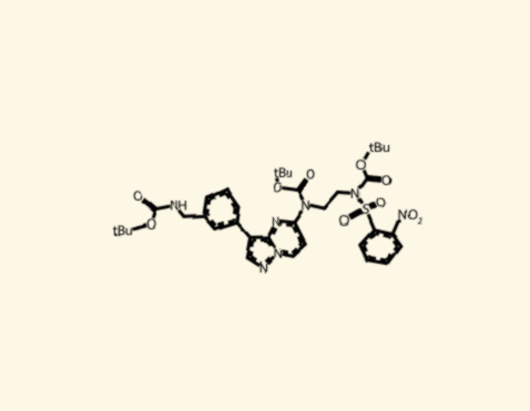 CC(C)(C)OC(=O)NCc1cccc(-c2cnn3ccc(N(CCN(C(=O)OC(C)(C)C)S(=O)(=O)c4ccccc4[N+](=O)[O-])C(=O)OC(C)(C)C)nc23)c1